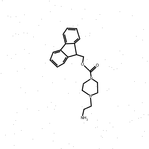 NCCN1CCN(C(=O)OCC2c3ccccc3-c3ccccc32)CC1